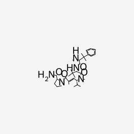 CN[C@H](C(=O)N[C@H](C(=O)N(C)[C@H](/C=C(\C)C(=O)N1CCCC1C(N)=O)C(C)C)C(C)(C)C)C(C)(C)c1ccccc1